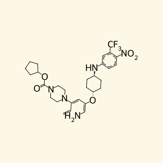 C=C/C(=C\C(=C/N)O[C@H]1CC[C@H](Nc2ccc([N+](=O)[O-])c(C(F)(F)F)c2)CC1)N1CCN(C(=O)OC2CCCC2)CC1